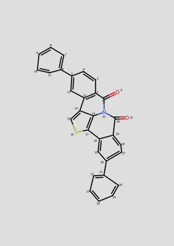 O=c1c2ccc(-c3ccccc3)cc2c2csc3c4cc(-c5ccccc5)ccc4c(=O)n1c23